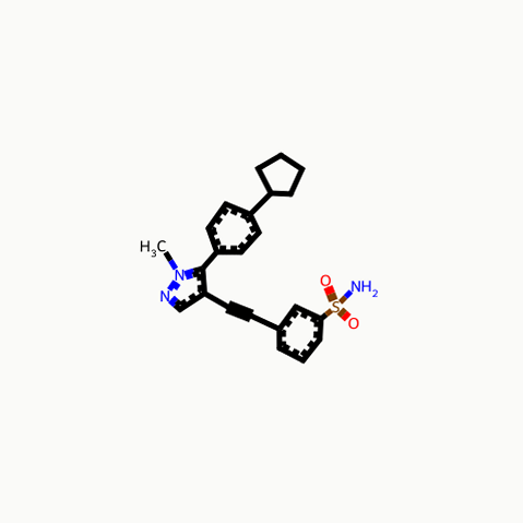 Cn1ncc(C#Cc2cccc(S(N)(=O)=O)c2)c1-c1ccc(C2CCCC2)cc1